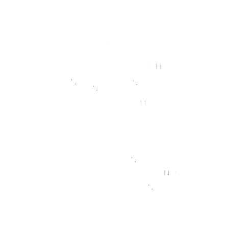 CC(N(C)C)n1ncc2ccc(-n3cnnc3)cc21